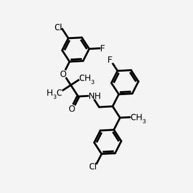 CC(c1ccc(Cl)cc1)C(CNC(=O)C(C)(C)Oc1cc(F)cc(Cl)c1)c1cccc(F)c1